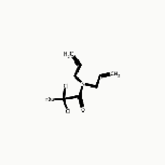 C=CCN(CC=C)C(=O)C(Cl)(Cl)CCCC